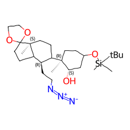 CC(C)(C)[Si](C)(C)OC1CC[C@](C)(C2CC[C@@]3(C)C(CCC34OCCO4)[C@@H]2CCN=[N+]=[N-])[C@@H](O)C1